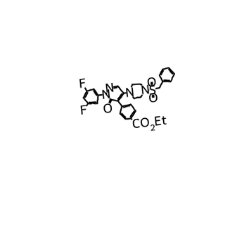 CCOC(=O)c1ccc(-c2c(N3CCN(S(=O)(=O)Cc4ccccc4)CC3)cnn(-c3cc(F)cc(F)c3)c2=O)cc1